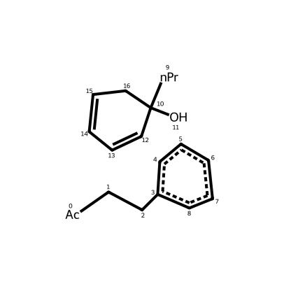 CC(=O)CCc1ccccc1.CCCC1(O)C=CC=CC1